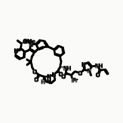 C=CC(=O)Nc1cnc(OCC(C(=O)N[C@H]2Cc3cccc(c3)-c3ccc4c(c3)c(c(-c3cccnc3[C@H](C)OC)n4CC)CC(C)(C)COC(=O)[C@@H]3CCCN(N3)C2=O)C(C)C)n1C